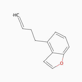 [CH]=CCCc1cccc2occc12